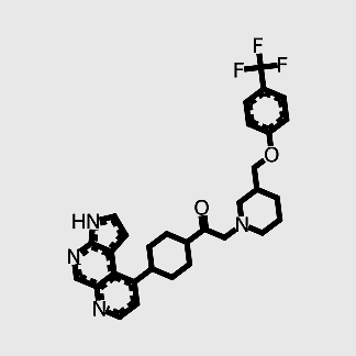 O=C(CN1CCCC(COc2ccc(C(F)(F)F)cc2)C1)C1CCC(c2ccnc3cnc4[nH]ccc4c23)CC1